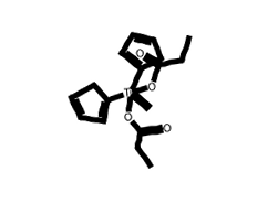 [CH2]=[Ti]([O]C(=O)CC)([O]C(=O)CC)([C]1=CC=CC1)[C]1=CC=CC1